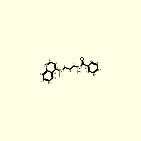 O=C(NCCCNc1ccnc2ccccc12)c1ccccc1